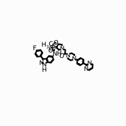 CS(=O)(=O)[C@@]1(C(=O)Nc2ccc3[nH]nc(-c4ccc(F)cc4)c3c2)CCN(CC(=O)N2CCN(c3ccc(-c4ncccn4)cc3)CC2)C1